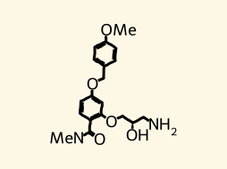 CNC(=O)c1ccc(OCc2ccc(OC)cc2)cc1OC[C@H](O)CN